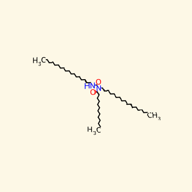 CCCCCCCCCCCCCCCCCCNC(=O)N(CCCCCCCCCCCCCCCCCC)C(=O)CCCCCCCCCCCC